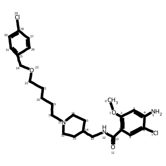 COc1cc(N)c(Cl)cc1C(=O)NCC1CCN(CCCCCOCc2ccc(Cl)cc2)CC1